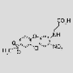 CS(=O)(=O)c1ccc(Oc2ccc([N+](=O)[O-])c(NCCC(=O)O)c2)c(Cl)c1